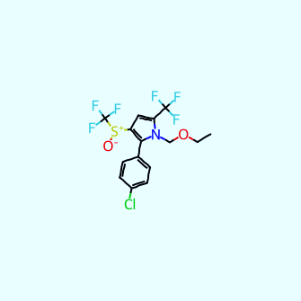 CCOCn1c(C(F)(F)F)cc([S+]([O-])C(F)(F)F)c1-c1ccc(Cl)cc1